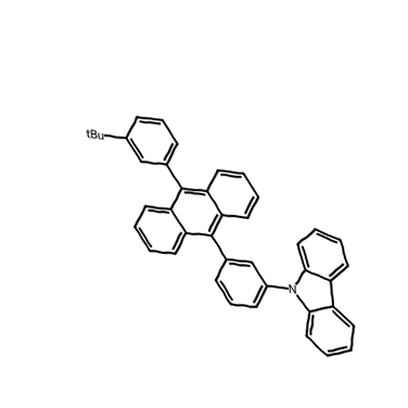 CC(C)(C)c1cccc(-c2c3ccccc3c(-c3cccc(-n4c5ccccc5c5ccccc54)c3)c3ccccc23)c1